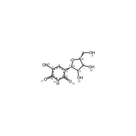 O=Nc1cn([C@H]2O[C@@H](CO)C(O)C2O)c(=O)[nH]c1=O